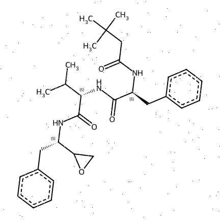 CC(C)[C@H](NC(=O)[C@H](Cc1ccccc1)NC(=O)CC(C)(C)C)C(=O)N[C@@H](Cc1ccccc1)C1CO1